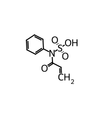 C=CC(=O)N(c1ccccc1)S(=O)(=O)O